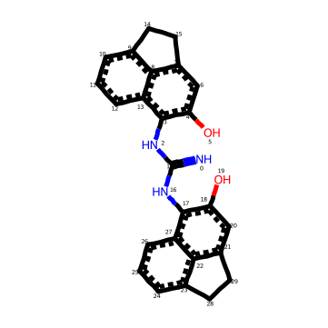 N=C(Nc1c(O)cc2c3c(cccc13)CC2)Nc1c(O)cc2c3c(cccc13)CC2